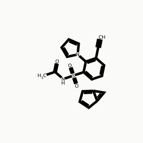 C#Cc1cccc(S(=O)(=O)NC(C)=O)c1-n1cccc1.c1cc2cc-2c1